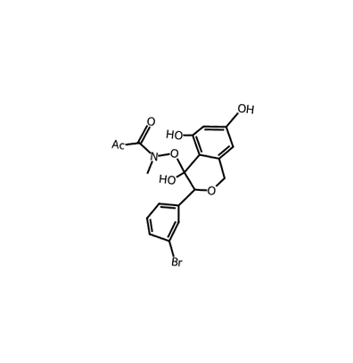 CC(=O)C(=O)N(C)OC1(O)c2c(O)cc(O)cc2COC1c1cccc(Br)c1